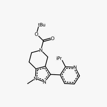 CC(C)c1ncccc1-c1nn(C)c2c1CN(C(=O)OC(C)(C)C)CC2